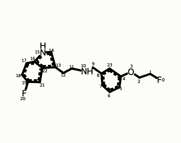 FCCOc1cccc(CNCCc2c[nH]c3ccc(F)cc23)c1